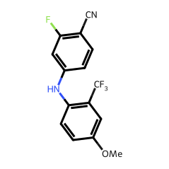 COc1ccc(Nc2ccc(C#N)c(F)c2)c(C(F)(F)F)c1